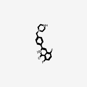 O=c1[nH]c(-c2ccc(CN3CCNCC3)cc2)cc2c(F)ccc(F)c12